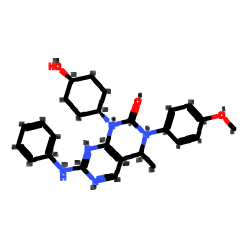 COc1ccc(N2C(=O)N([C@H]3CC[C@H](O)CC3)c3nc(Nc4ccccc4)ncc3C2C)cc1